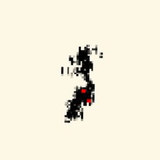 [2H]C1([2H])N(CC2CCN(CCCOc3cc4ncc(C#N)c(Nc5cc(OC)c(Cl)cc5Cl)c4cc3OC)CC2)C([2H])([2H])C([2H])([2H])N(c2ccc3c(c2)C(=O)N(C2CCC(=O)NC2=O)C3=O)C1([2H])[2H]